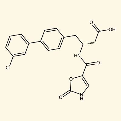 O=C(O)C[C@@H](Cc1ccc(-c2cccc(Cl)c2)cc1)NC(=O)c1c[nH]c(=O)o1